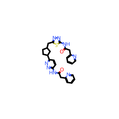 O=C(Cc1ccccn1)Nc1ccc(C2CCC(Cc3nnc(NC(=O)Cc4ccccn4)s3)C2)nn1